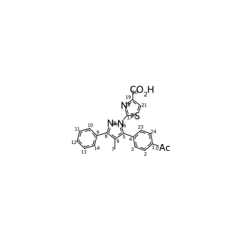 CC(=O)c1ccc(-c2c(C)c(-c3ccccc3)nn2-c2nc(C(=O)O)cs2)cc1